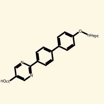 CCCCCCCCc1cnc(-c2ccc(-c3ccc(OCCCCCCC)cc3)cc2)nc1